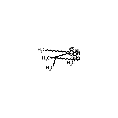 CCCCCCCCCCCCCCCC1(CC)Oc2c3c(c4nsnc4c2-c2sccc21)-c1sccc1C(CCCCCCCCCCCCCCC)(CCCCCCCCCCCCCCC)O3